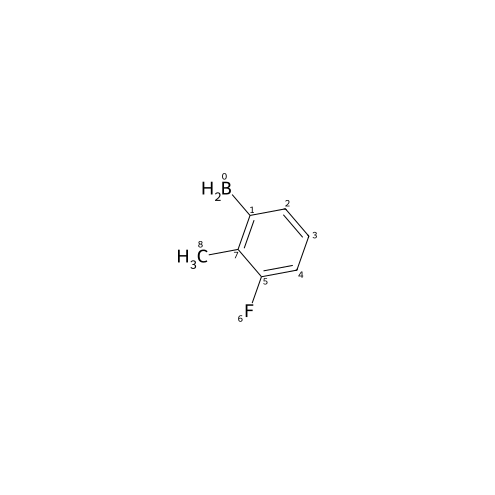 Bc1cccc(F)c1C